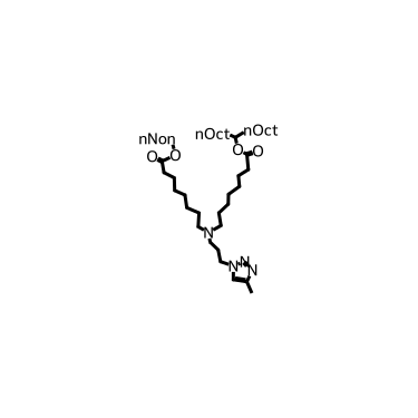 CCCCCCCCCOC(=O)CCCCCCCN(CCCCCCCC(=O)OC(CCCCCCCC)CCCCCCCC)CCCn1cc(C)nn1